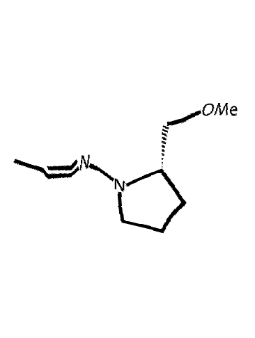 C/C=N/N1CCC[C@H]1COC